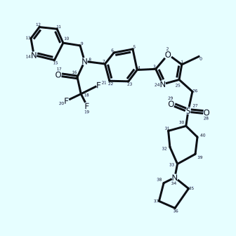 Cc1oc(-c2ccc(N(Cc3cccnc3)C(=O)C(F)(F)F)cc2)nc1CS(=O)(=O)C1CCC(N2CCCC2)CC1